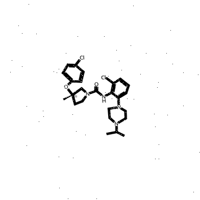 CC(C)N1CCN(c2cccc(Cl)c2NC(=O)N2CC[C@](C)(Oc3ccc(Cl)cc3)C2)CC1